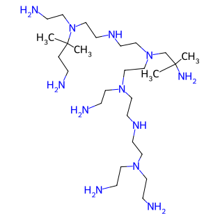 CC(C)(N)CN(CCNCCN(CCN)C(C)(C)CCN)CCN(CCN)CCNCCN(CCN)CCN